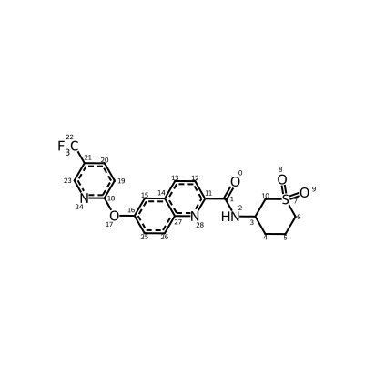 O=C(NC1CCCS(=O)(=O)C1)c1ccc2cc(Oc3ccc(C(F)(F)F)cn3)ccc2n1